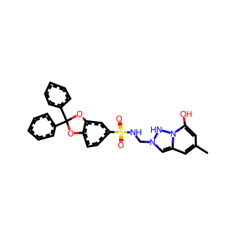 CC1=CC2=CN(CNS(=O)(=O)c3ccc4c(c3)OC(c3ccccc3)(c3ccccc3)O4)NN2C(O)=C1